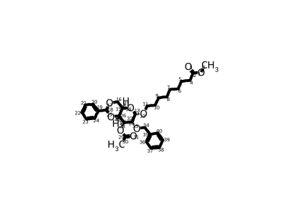 COC(=O)CCCCCCCCO[C@H]1O[C@@H]2COC(c3ccccc3)O[C@H]2[C@H](OC(C)=O)[C@H]1OCc1ccccc1